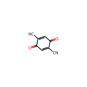 N#CC1=CC(=O)C(C#N)=CC1=O